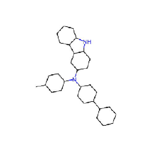 CC1CCC(N(C2CCC(C3CCCCC3)CC2)C2CCC3NC4CCCCC4C3C2)CC1